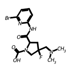 CN(C)CC1(F)CC(C(=O)Nc2cccc(Br)n2)N(C(=O)O)C1